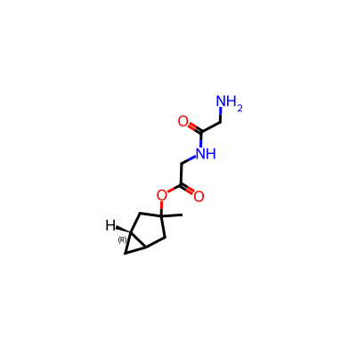 CC1(OC(=O)CNC(=O)CN)CC2C[C@@H]2C1